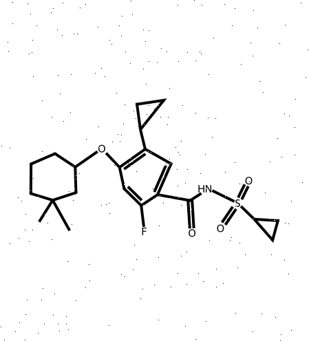 CC1(C)CCCC(Oc2cc(F)c(C(=O)NS(=O)(=O)C3CC3)cc2C2CC2)C1